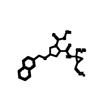 C=CC1CC1(NC(=O)C1CC(OCc2ccc3ccccc3c2)CN1C(=O)OC(C)(C)C)C(=O)OCC